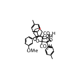 COc1cccc([C@]2(OC(C(=O)O)(C(=O)c3ccc(C)cc3)C(O)(C(=O)O)C(=O)c3ccc(C)cc3)CCCC[C@H]2CN(C)C)c1